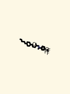 CCCCCC1CCC(C2CCC(/C=C(\C)c3ccc(OC(F)(F)F)cc3)CC2)CC1